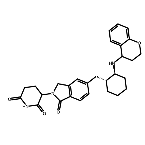 O=C1CCC(N2Cc3cc(C[C@H]4CCCC[C@@H]4NC4CCOc5ccccc54)ccc3C2=O)C(=O)N1